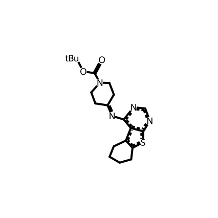 CC(C)(C)OC(=O)N1CCC(=Nc2ncnc3sc4c(c23)CCCC4)CC1